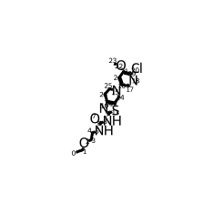 CCOCCNC(=O)Nc1nc2c(s1)CN(c1cnc(Cl)c(OC)c1)CC2